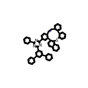 C1=C\c2ccc(-c3nc(-c4ccccc4)nc(-c4cc(-c5ccccc5)cc(-c5ccccc5)c4)n3)cc2-c2ccc3ccccc3c2Sc2ccccc2-c2ccccc2/1